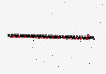 C=CC(=O)OCCCOCCCOCCCOCCCOCCCOCCCOCCCOCCCOCCCOCCCOCCCOCCCOCCCOC